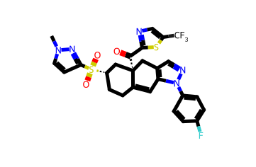 Cn1ccc(S(=O)(=O)[C@H]2CCC3=Cc4c(cnn4-c4ccc(F)cc4)C[C@]3(C(=O)c3ncc(C(F)(F)F)s3)C2)n1